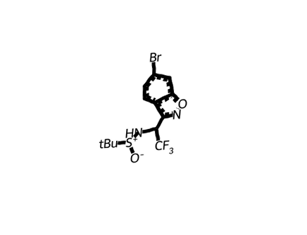 CC(C)(C)[S+]([O-])NC(c1noc2cc(Br)ccc12)C(F)(F)F